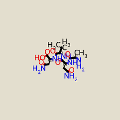 CC(C)[C@H](NC(=O)[C@H](CC(N)=O)NC(=O)[C@H](C)N)C(=O)N[C@@H](CC(N)=O)C(=O)O